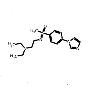 CCN(CC)CCN=S(C)(=O)c1ccc(-n2ccnc2)cc1